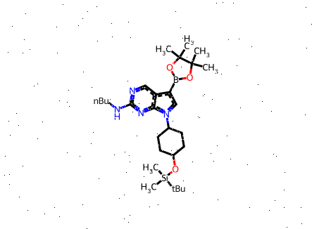 CCCCNc1ncc2c(B3OC(C)(C)C(C)(C)O3)cn(C3CCC(O[Si](C)(C)C(C)(C)C)CC3)c2n1